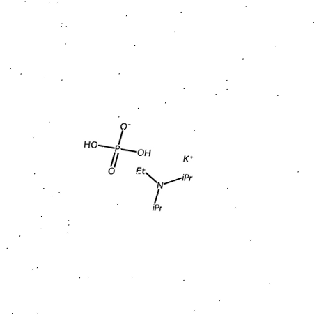 CCN(C(C)C)C(C)C.O=P([O-])(O)O.[K+]